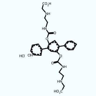 Cl.Cl.O=C(O)CNCCNC(=O)Oc1cc(-c2ccccc2)c(OC(=O)NCCNCC(=O)O)cc1-c1ccccc1